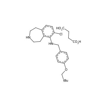 CC(C)(C)COc1ccc(CNc2c(Cl)ccc3c2CCNCC3)cc1.O=C(O)CCC(=O)O